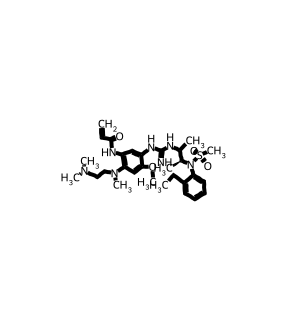 C=CC(=O)Nc1cc(NC(=N)NC(C)[C@H](C)N(c2ccccc2CC)S(C)(=O)=O)c(OC)cc1N(C)CCN(C)C